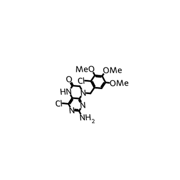 COc1cc(CN2CC(=O)Nc3c(Cl)nc(N)nc32)c(Cl)c(OC)c1OC